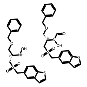 O=CN(O)[C@@H](COCc1ccccc1)CS(=O)(=O)Cc1ccc2sccc2c1.O=S(=O)(Cc1ccc2sccc2c1)C[C@H](COCc1ccccc1)NO